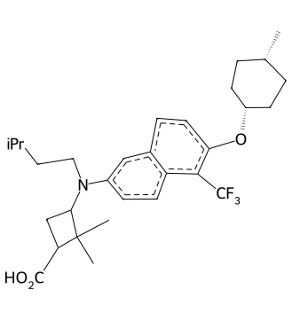 CC(C)CCN(c1ccc2c(C(F)(F)F)c(O[C@H]3CC[C@@H](C)CC3)ccc2c1)C1CC(C(=O)O)C1(C)C